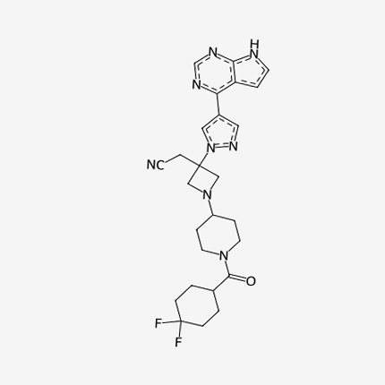 N#CCC1(n2cc(-c3ncnc4[nH]ccc34)cn2)CN(C2CCN(C(=O)C3CCC(F)(F)CC3)CC2)C1